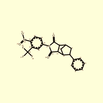 O=C1C2C3CC(c4ccccc4)C(C3)C2C(=O)N1c1ccc([N+](=O)[O-])c(C(F)(F)F)c1